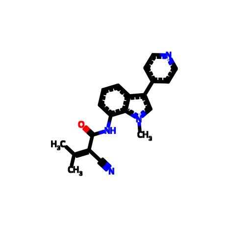 CC(C)=C(C#N)C(=O)Nc1cccc2c(-c3ccncc3)cn(C)c12